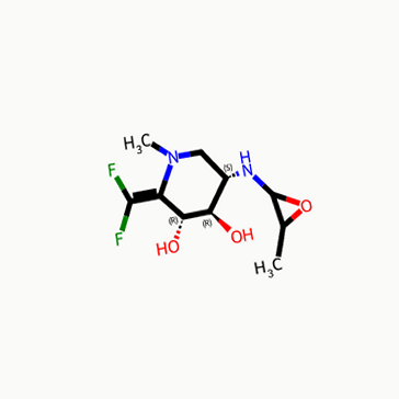 CC1OC1N[C@H]1CN(C)C(=C(F)F)[C@@H](O)[C@@H]1O